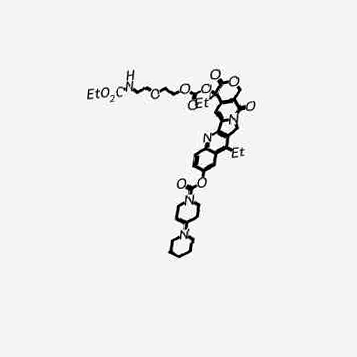 CCOC(=O)NCCOCCOC(=O)O[C@]1(CC)C(=O)OCc2c1cc1n(c2=O)Cc2c-1nc1ccc(OC(=O)N3CCC(N4CCCCC4)CC3)cc1c2CC